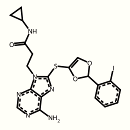 Nc1ncnc2c1nc(SC1=COC(c3ccccc3I)O1)n2CCC(=O)NC1CC1